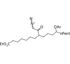 CCCCCC(CCCC(CCCCCCC(=O)OCC)C(=O)C=[N+]=[N-])OC(C)=O